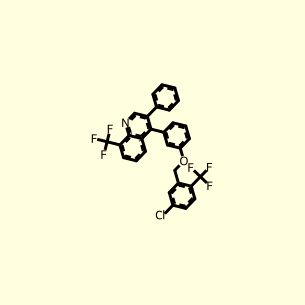 FC(F)(F)c1ccc(Cl)cc1COc1cccc(-c2c(-c3ccccc3)cnc3c(C(F)(F)F)cccc23)c1